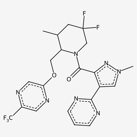 CC1CC(F)(F)CN(C(=O)c2nn(C)cc2-c2ncccn2)C1COc1cnc(C(F)(F)F)cn1